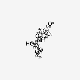 COCCCOc1c(OC)ccc(C(=O)NC[C@@H]2CN(C(=O)OC(C)(C)C)C[C@H]2O)c1C(C)C